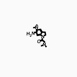 CN(C)CC(=O)N1CCc2cc(N(C)C)c(N)cc21